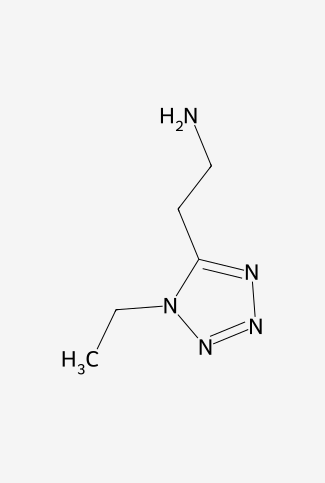 CCn1nnnc1CCN